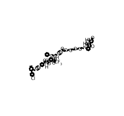 CC1(C)CCC(c2ccc(Cl)cc2)=C(CN2CCN(c3ccc(C(=O)NS(=O)(=O)c4ccc(N[C@H](CCN5CCN(C(=O)COCCOCCOCCOCCNc6cccc7c6C(=O)N(C6CCC(=O)NC6=O)C7=O)CC5)CSc5ccccc5)c(S(=O)(=O)C(F)(F)F)c4)cc3)CC2)C1